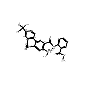 COC(=O)c1ccccc1N(C)C(=O)c1cc(-c2cnc(C(F)(F)F)cc2C#N)c(Cl)cc1OC